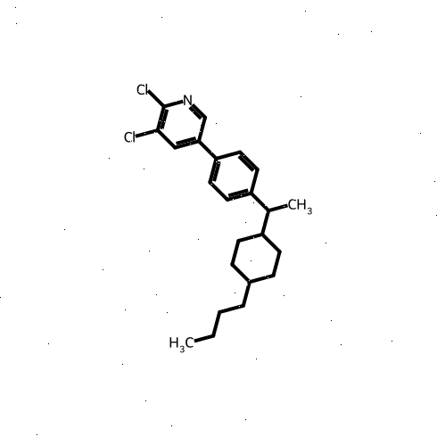 CCCCC1CCC(C(C)c2ccc(-c3cnc(Cl)c(Cl)c3)cc2)CC1